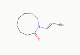 CCCCC=CN1CCCCCCCC1=O